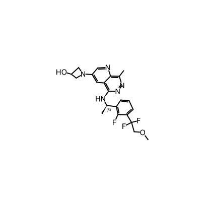 COCC(F)(F)c1cccc([C@@H](C)Nc2nnc(C)c3ncc(N4CC(O)C4)cc23)c1F